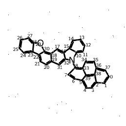 c1cc2ccc3ccc(-n4c5ccccc5c5cc6c(ccc7c8ccccc8oc67)cc54)c4ccc(c1)c2c34